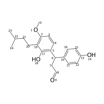 COc1ccc(C(CC=O)c2ccc(O)cc2)c(O)c1CCC(C)C